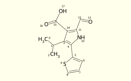 CC(C)c1c(-c2cccs2)[nH]c(C=O)c1C(=O)O